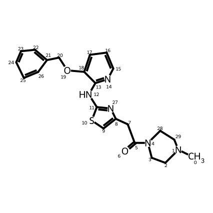 CN1CCN(C(=O)Cc2csc(Nc3ncccc3OCc3ccccc3)n2)CC1